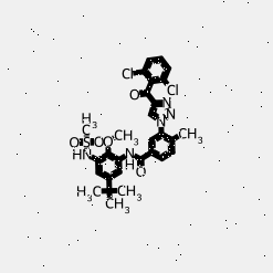 COc1c(NC(=O)c2ccc(C)c(-n3cc(C(=O)c4c(Cl)cccc4Cl)nn3)c2)cc(C(C)(C)C)cc1NS(C)(=O)=O